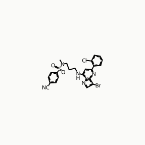 CN(CCCNc1cc(-c2ccccc2Cl)nc2c(Br)cnn12)S(=O)(=O)c1ccc(C#N)cc1